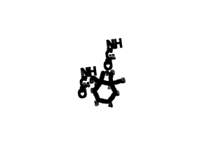 CC1(C)CCCCC1(C)C.N=C=O.N=C=O